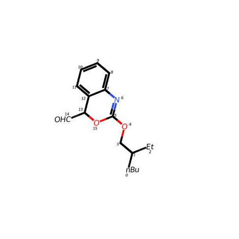 CCCCC(CC)COC1=Nc2ccccc2C(C=O)O1